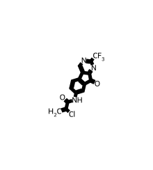 C=C(Cl)C(=O)Nc1ccc2c(c1)C(=O)c1nc(C(F)(F)F)ncc1-2